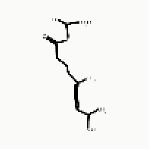 CCCCC(C)C=C=C(C)CCCC(=O)OC(C(=O)OCC)C(C)C